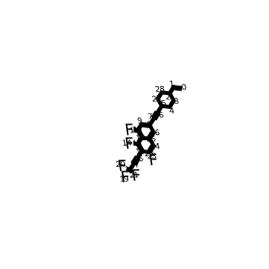 C=CC1CCC(C#Cc2cc(F)c3c(F)c(C#CC(F)(F)F)c(F)cc3c2)CC1